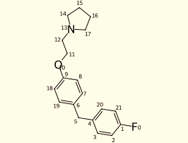 Fc1ccc(Cc2ccc(OCCN3CCCC3)cc2)cc1